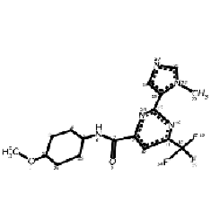 COC1CCC(NC(=O)c2cc(C(F)(F)F)nc(-c3cncn3C)n2)CC1